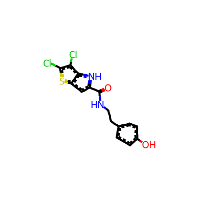 O=C(NCCc1ccc(O)cc1)c1cc2sc(Cl)c(Cl)c2[nH]1